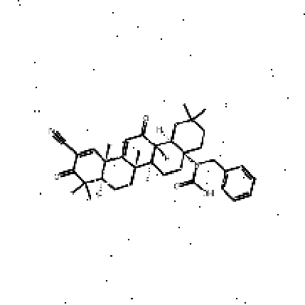 CC1(C)CC[C@]2(N(Cc3ccccc3)C(=O)O)CC[C@]3(C)[C@H](C(=O)C=C4[C@@]5(C)C=C(C#N)C(=O)C(C)(C)[C@@H]5CC[C@]43C)[C@H]2C1